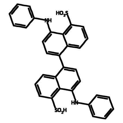 O=S(=O)(O)c1cccc2c(-c3ccc(Nc4ccccc4)c4c(S(=O)(=O)O)cccc34)ccc(Nc3ccccc3)c12